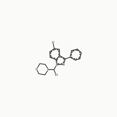 CCC(N1CCOCC1)n1nc(-c2ccccc2)c2cc(Cl)ccc21